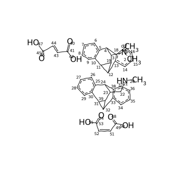 CN(C)C1C2c3ccccc3C3C(c4ccccc42)C31.CNCC1C2c3ccccc3C3C(c4ccccc42)C13.O=C(O)/C=C/C(=O)O.O=C(O)/C=C\C(=O)O